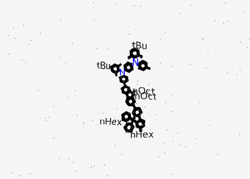 CCCCCCCCC1(CCCCCCCC)c2cc(-c3ccc(N(c4ccc(N(c5ccc(C)cc5)c5c(C)cc(C(C)(C)C)cc5C)cc4)c4c(C)cc(C(C)(C)C)cc4C)cc3)ccc2-c2ccc(-c3ccc4c(c3)C(c3cccc(CCCCCC)c3)(c3cccc(CCCCCC)c3)c3cc(C)ccc3-4)cc21